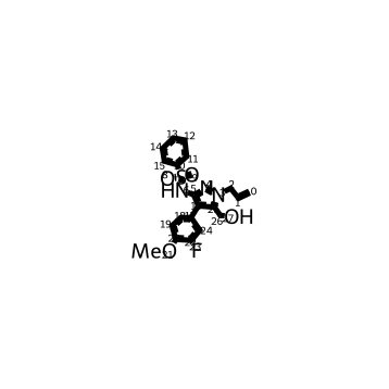 C=CCn1nc(NS(=O)(=O)c2ccccc2)c(-c2ccc(OC)c(F)c2)c1CO